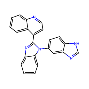 c1ccc2c(-c3nc4ccccc4n3-c3ccc4[nH]cnc4c3)ccnc2c1